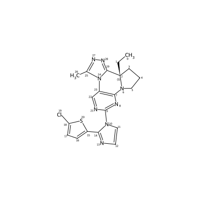 CC[C@@]12CCCN1c1nc(-n3ccnc3-c3ccc(Cl)s3)ncc1-n1c(C)nnc12